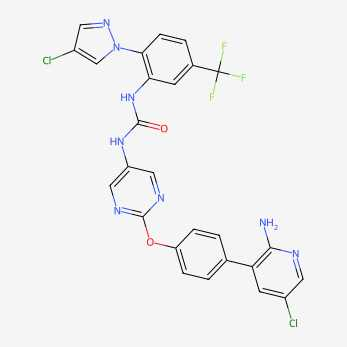 Nc1ncc(Cl)cc1-c1ccc(Oc2ncc(NC(=O)Nc3cc(C(F)(F)F)ccc3-n3cc(Cl)cn3)cn2)cc1